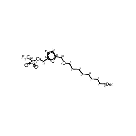 CCCCCCCCCCCCCCCCCCOCc1ccc(COS(=O)(=O)C(F)(F)F)o1